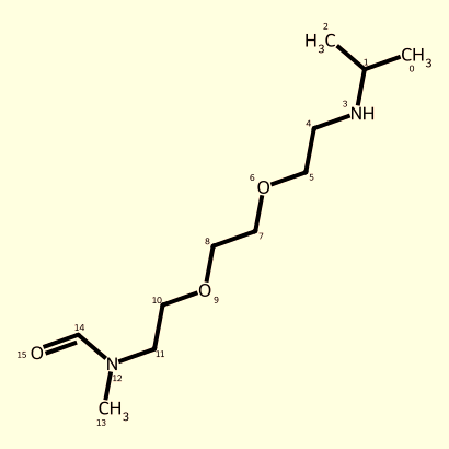 CC(C)NCCOCCOCCN(C)C=O